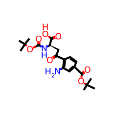 CC(C)(C)OC(=O)N[C@H](CC(=O)c1ccc(C(=O)OC(C)(C)C)cc1N)C(=O)O